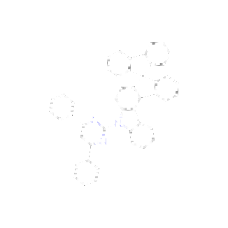 c1ccc(-c2cc(-c3ccccc3)nc(-n3c4ccccc4c4c5c(ccc43)C3(c4ccccc4-c4ccccc43)c3ccccc3-5)n2)cc1